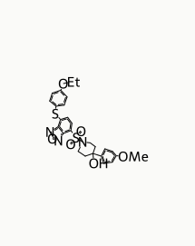 CCOc1ccc(Sc2ccc(S(=O)(=O)N3CCC(O)(c4ccc(OC)cc4)CC3)c3nonc23)cc1